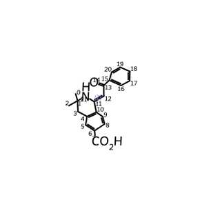 CC1(C)Cc2cc(C(=O)O)ccc2/C(=C/C(=O)c2ccccc2)N1